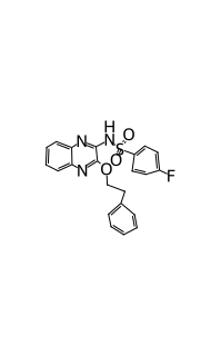 O=S(=O)(Nc1nc2ccccc2nc1OCCc1ccccc1)c1ccc(F)cc1